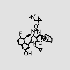 C#Cc1c(F)ccc2cc(O)cc(-c3cc4nc(OCC5(CN(C)C)CC5)nc(N5CC6CCC(C5)N6)c4c(=O)n3CC3CC3)c12